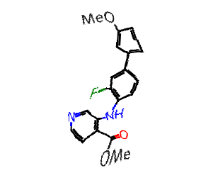 COC(=O)c1ccncc1Nc1ccc(-c2cccc(OC)c2)cc1F